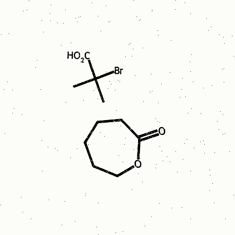 CC(C)(Br)C(=O)O.O=C1CCCCCO1